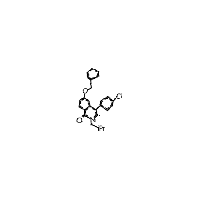 CC(C)Cn1[c]c(-c2ccc(Cl)cc2)c2cc(OCc3ccccc3)ccc2c1=O